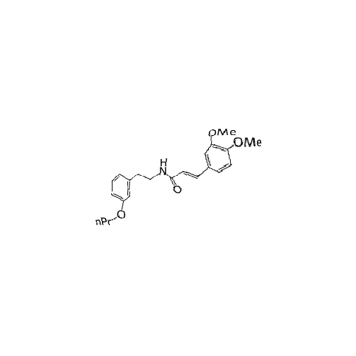 CCCOc1cccc(CCNC(=O)C=Cc2ccc(OC)c(OC)c2)c1